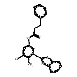 O=C(CCc1ccccc1)Nc1cc(Cl)c(O)c(-c2nc3ccccc3s2)c1